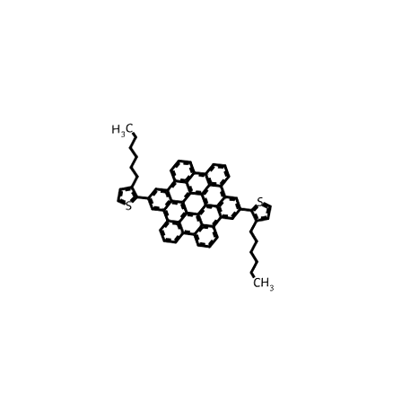 CCCCCCc1ccsc1-c1cc2c3cccc4c5cccc6c7cc(-c8sccc8CCCCCC)cc8c9cccc%10c%11cccc%12c(c1)c2c1c(c43)c(c56)c(c78)c(c%109)c1c%11%12